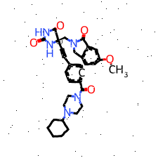 COc1ccc2c(c1)C(=O)N(C[C@@]1(C#Cc3ccc(C(=O)N4CCN(C5CCCCC5)CC4)cc3)NC(=O)NC1=O)C2